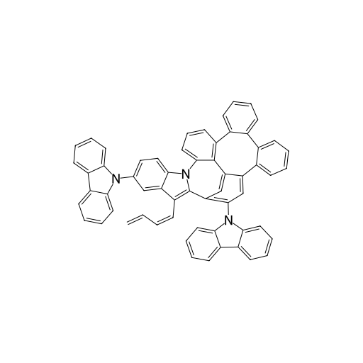 C=C/C=C\c1c2cc(-n3c4ccccc4c4ccccc43)ccc2n2c3cccc4c3-c3cc(c(-n5c6ccccc6c6ccccc65)cc3c3ccccc3c3ccccc43)c12